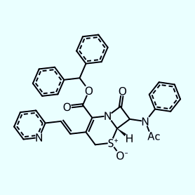 CC(=O)N(c1ccccc1)C1C(=O)N2C(C(=O)OC(c3ccccc3)c3ccccc3)=C(C=Cc3ccccn3)C[S+]([O-])[C@@H]12